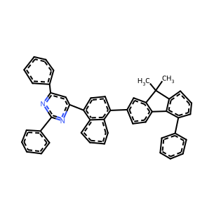 CC1(C)c2cc(-c3ccc(-c4cc(-c5ccccc5)nc(-c5ccccc5)n4)c4ccccc34)ccc2-c2c(-c3ccccc3)cccc21